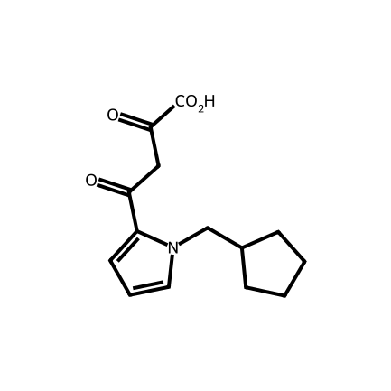 O=C(O)C(=O)CC(=O)c1cccn1CC1CCCC1